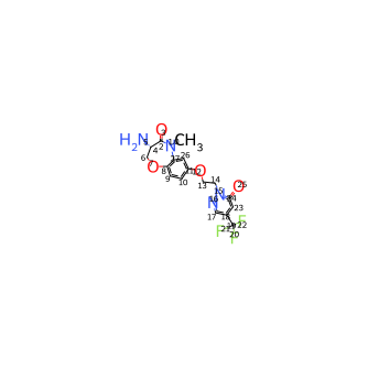 CN1C(=O)[C@@H](N)COc2ccc(OCCn3ncc(C(F)(F)F)cc3=O)cc21